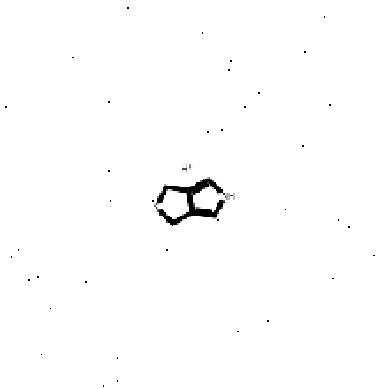 [H+].c1[nH]cc2c1CSC2